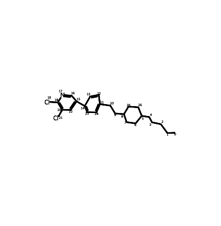 CCCCCC1CCC(CCc2ccc(-c3cnc(Cl)c(Cl)c3)cc2)CC1